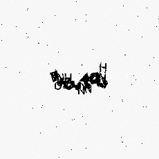 O=C(NC1CCC1)c1ccc(-c2cnc3ncc(C4(c5ccc6c(c5)C=CCN6)CC4)n3c2)cc1